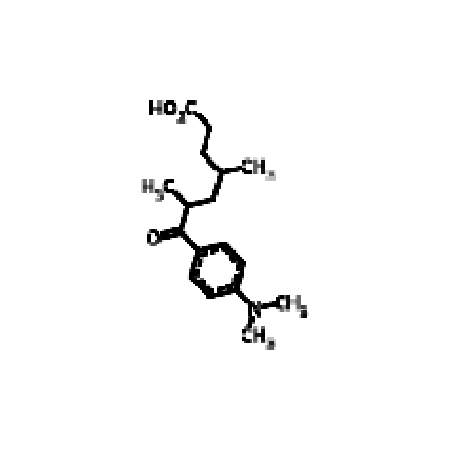 CC(CCC(=O)O)CC(C)C(=O)c1ccc(N(C)C)cc1